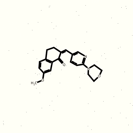 COc1ccc2c(c1)C(=O)C(=Cc1ccc(N3CCOCC3)nc1)CC2